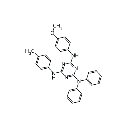 COc1ccc(Nc2nc(Nc3ccc(C)cc3)nc(N(c3ccccc3)c3ccccc3)n2)cc1